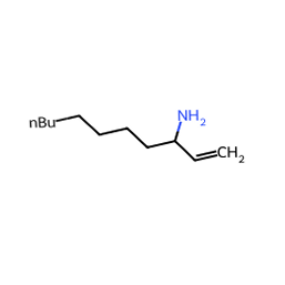 C=CC(N)CCCCCCCC